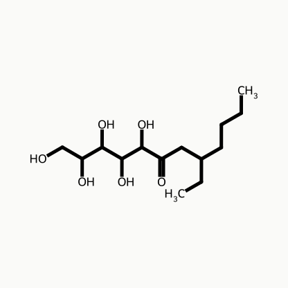 CCCCC(CC)CC(=O)C(O)C(O)C(O)C(O)CO